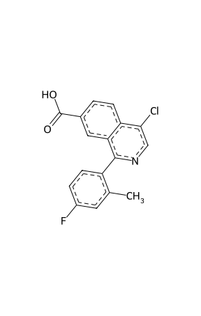 Cc1cc(F)ccc1-c1ncc(Cl)c2ccc(C(=O)O)cc12